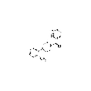 O=C(c1cccnn1)N1CCC(c2ccccc2C(F)(F)F)CC1